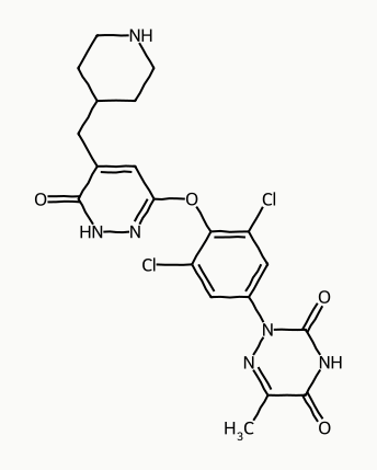 Cc1nn(-c2cc(Cl)c(Oc3cc(CC4CCNCC4)c(=O)[nH]n3)c(Cl)c2)c(=O)[nH]c1=O